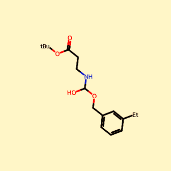 CCc1cccc(COC(O)NCCC(=O)OC(C)(C)C)c1